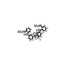 CNc1ccccc1Nc1cccc(C(C)(C)c2cccc(Nc3ccccc3NC)n2)n1